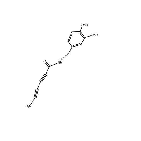 CC#CC#CC(=O)NCCc1ccc(OC)c(OC)c1